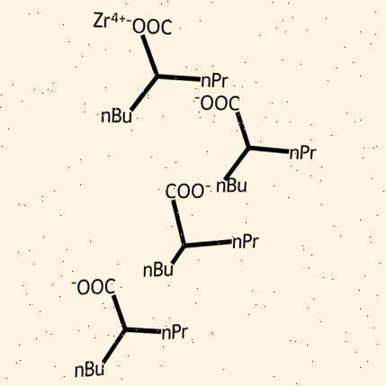 CCCCC(CCC)C(=O)[O-].CCCCC(CCC)C(=O)[O-].CCCCC(CCC)C(=O)[O-].CCCCC(CCC)C(=O)[O-].[Zr+4]